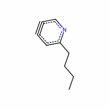 CCCCc1cc#ccn1